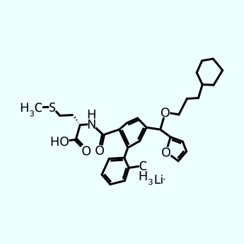 CSCC[C@H](NC(=O)c1ccc(C(OCCCC2CCCCC2)c2ccco2)cc1-c1ccccc1C)C(=O)O.[Li]